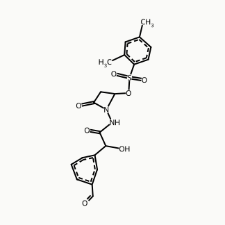 Cc1ccc(S(=O)(=O)OC2CC(=O)N2NC(=O)C(O)c2cccc(C=O)c2)c(C)c1